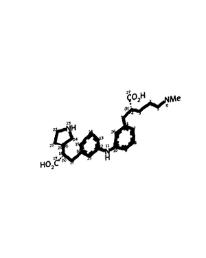 CNCCC[C@H](Cc1cccc(Nc2cccc(C[C@H](C(=O)O)[C@H]3CCNC3)c2)c1)C(=O)O